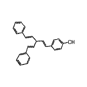 Oc1ccc(C=CC(C=Cc2ccccc2)C=Cc2ccccc2)cc1